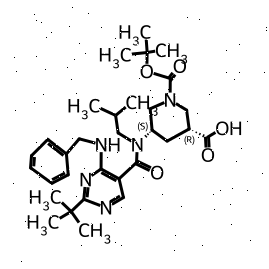 CC(C)CN(C(=O)c1cnc(C(C)(C)C)nc1NCc1ccccc1)[C@H]1C[C@@H](C(=O)O)CN(C(=O)OC(C)(C)C)C1